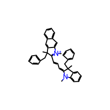 CN1/C(=C/C=C/C2=[N+](C)c3cc4ccccc4cc3C2(C)Cc2ccccc2)C(C)(Cc2ccccc2)c2ccccc21